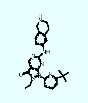 CCn1c(=O)c2cnc(Nc3ccc4c(c3)CCNC4)nc2n1-c1cccc(C(C)(C)C)n1